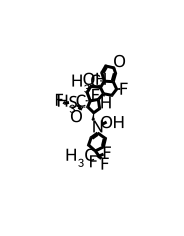 CC1(C(F)(F)F)C=CC(N(O)C[C@@H]2CC3[C@@H]4C[C@H](F)C5=CC(=O)C=C[C@]5(C)[C@@]4(F)[C@@H](O)C[C@]3(C)[C@H]2C(=O)SCF)=CC1